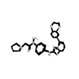 CN(C(=O)CN1CCCC1)c1ccc(Nc2nc3cccc(-c4ccc5c(c4)OCCO5)n3n2)cc1